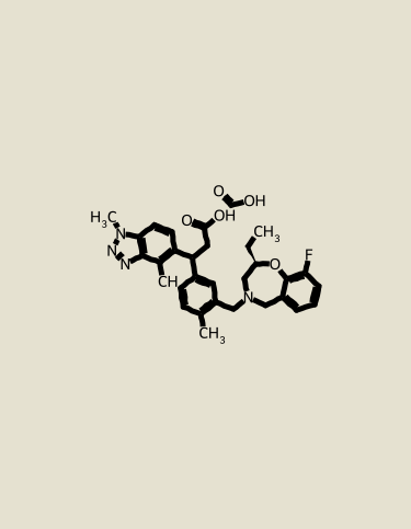 CC[C@@H]1CN(Cc2cc(C(CC(=O)O)c3ccc4c(nnn4C)c3C)ccc2C)Cc2cccc(F)c2O1.O=CO